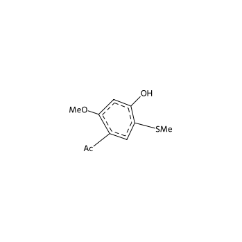 COc1cc(O)c(SC)cc1C(C)=O